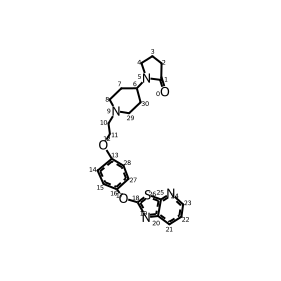 O=C1CCCN1C1CCN(CCOc2ccc(Oc3nc4cccnc4s3)cc2)CC1